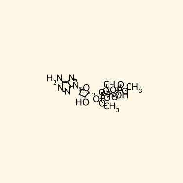 COP(=O)(O)OP(=O)(OC)OP(=O)(OC)OC[C@H]1O[C@@H](n2cnc3c(N)ncnc32)CC1O